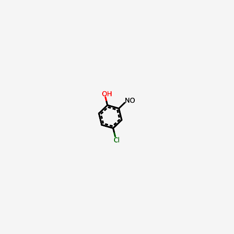 O=Nc1cc(Cl)ccc1O